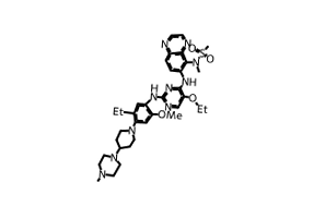 CCOc1cnc(Nc2cc(CC)c(N3CCC(N4CCN(C)CC4)CC3)cc2OC)nc1Nc1ccc2nccnc2c1N(C)S(C)(=O)=O